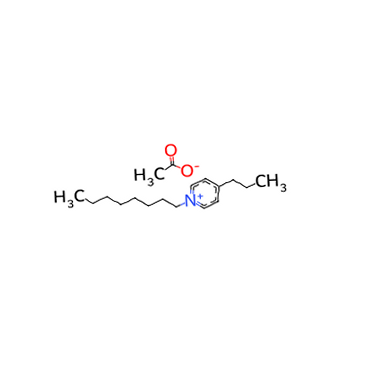 CC(=O)[O-].CCCCCCCC[n+]1ccc(CCC)cc1